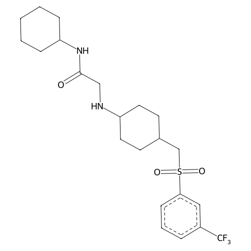 O=C(CNC1CCC(CS(=O)(=O)c2cccc(C(F)(F)F)c2)CC1)NC1CCCCC1